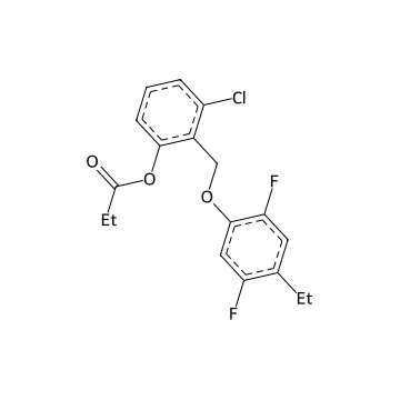 CCC(=O)Oc1cccc(Cl)c1COc1cc(F)c(CC)cc1F